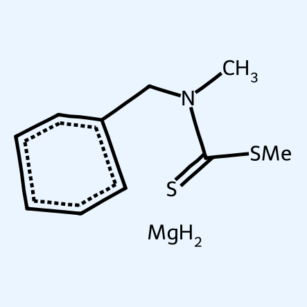 CSC(=S)N(C)Cc1ccccc1.[MgH2]